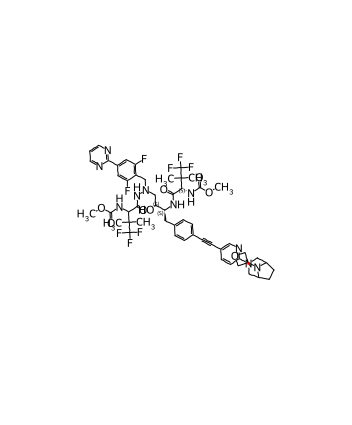 COC(=O)NC(C(=O)NN(Cc1c(F)cc(-c2ncccn2)cc1F)C[C@H](O)[C@H](Cc1ccc(C#Cc2ccc(N3CC4CCC(C3)N4C3COC3)nc2)cc1)NC(=O)[C@@H](NC(=O)OC)C(C)(C)C(F)(F)F)C(C)(C)C(F)(F)F